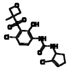 CC1(S(=O)(=O)c2c(Cl)ccc(NC(=O)NC3CCC=C3Cl)c2O)COC1